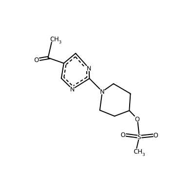 CC(=O)c1cnc(N2CCC(OS(C)(=O)=O)CC2)nc1